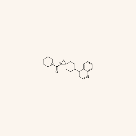 O=C([C@H]1CC12CCC(c1ccnc3ccccc13)CC2)N1CCCCC1